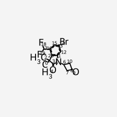 CC1(C)C(=O)N(C2CC(=O)C2)c2cc(Br)cc(C(F)F)c21